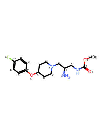 CC(C)(C)OC(=O)NCC(N)CN1CCC(Oc2ccc(F)cc2)CC1